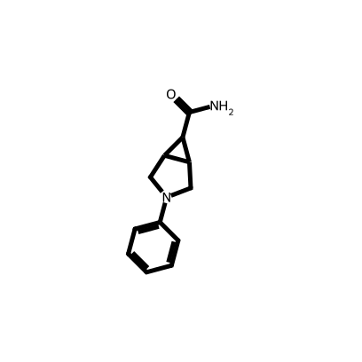 NC(=O)C1C2CN(c3ccccc3)CC21